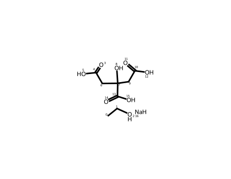 CCO.O=C(O)CC(O)(CC(=O)O)C(=O)O.[NaH]